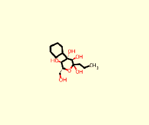 CCC[C@]1(O)O[C@H](CO)[C@@H](O)[C@@](O)(C2CCCCC2)[C@H]1O